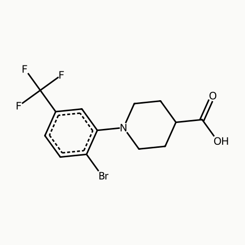 O=C(O)C1CCN(c2cc(C(F)(F)F)ccc2Br)CC1